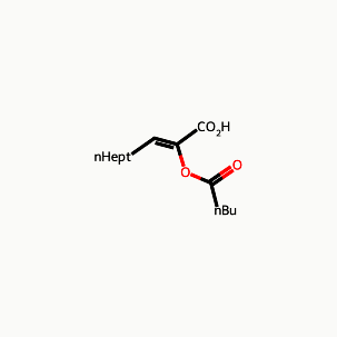 CCCCCCCC=C(OC(=O)CCCC)C(=O)O